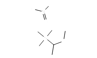 COC(C)[N+](C)(C)C.O=[N+]([O-])[O-]